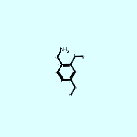 CCc1ccc(CN)c(CC)c1